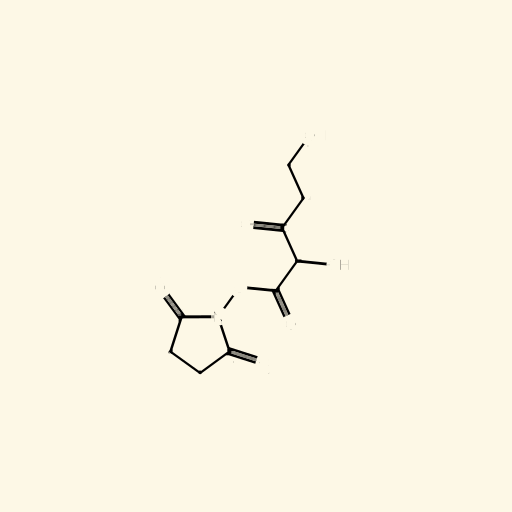 CC(C(=O)CCO)C(=O)ON1C(=O)CCC1=O